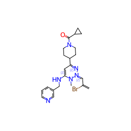 C=C(Br)/C=N\N(C)/C(=C\C(=N/C)C1CCN(C(=O)C2CC2)CC1)NCc1cccnc1